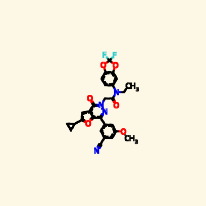 CCN(C(=O)Cn1nc(-c2cc(C#N)cc(OC)c2)c2oc(C3CC3)cc2c1=O)c1ccc2c(c1)OC(F)(F)O2